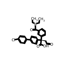 CCN(CC)C(=O)c1cccc([C@](CC=O)(C(=O)O)c2ccc(-c3ccc(Cl)cc3)cc2)c1